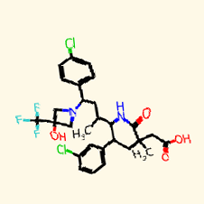 CC(CC(c1ccc(Cl)cc1)N1CC(O)(C(F)(F)F)C1)C1NC(=O)C(C)(CC(=O)O)CC1c1cccc(Cl)c1